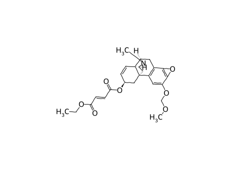 CCOC(=O)C=CC(=O)O[C@H]1C=C[C@H]2[C@H]3Cc4c(cc(OCOC)c5c4O5)[C@@]2(CCN3C)C1